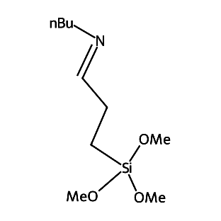 CCCCN=CCC[Si](OC)(OC)OC